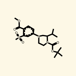 COC(=O)c1ccc(N2CCN(C(=O)OC(C)(C)C)C(C(C)C)C2)cc1S(C)(=O)=O